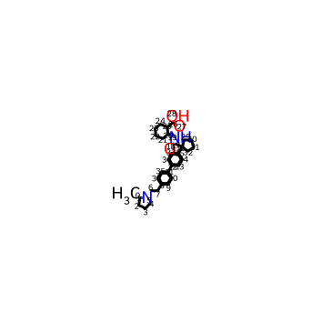 CC1CCCN1CCc1ccc(-c2ccc(C3(C(=O)NC4CCCCC4C(=O)O)CCCC3)cc2)cc1